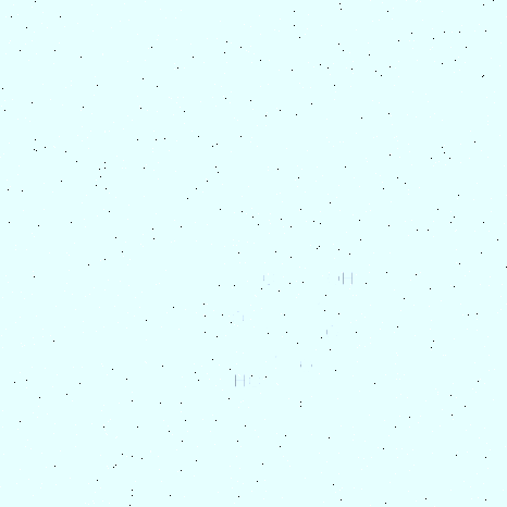 CCCCCCCC1OC(C(=O)O)C(C(=O)O)O1